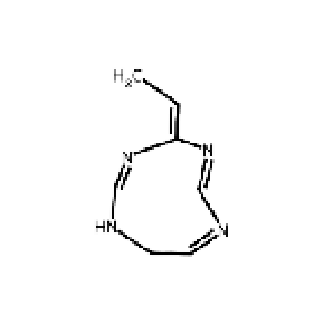 C/C=C1\N=C/NC/C=N\C=N\1